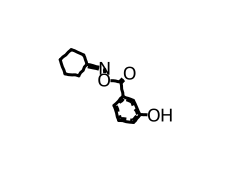 O=C(ON=C1CCCCC1)c1cccc(O)c1